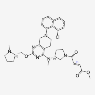 COC(=O)/C=C/C(=O)N1CC[C@@H](N(C)c2nc(OC[C@@H]3CCCN3C)nc3c2CCN(c2cccc4cccc(Cl)c24)C3)C1